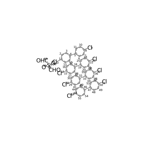 Clc1ccc(-c2ccc(Cl)cc2)cc1.Clc1ccc(-c2ccc(Cl)cc2)cc1.Clc1ccc(-c2ccc(Cl)cc2)cc1.Clc1ccc(-c2ccc(Cl)cc2)cc1.O=CS(=O)(=O)C=O